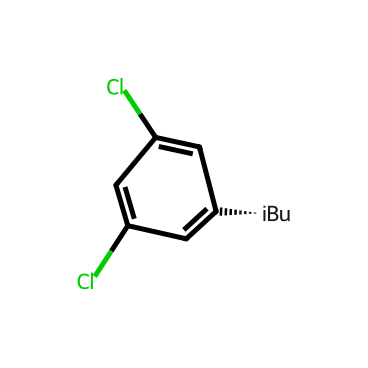 CC[C@@H](C)c1cc(Cl)cc(Cl)c1